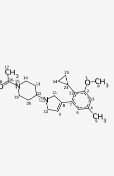 COc1cc(C)cc(C2=CCN(C3CCN(C(C)=O)CC3)C2)c1C1CC1